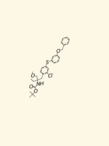 CCC(COC)(Cc1ccc(Sc2cccc(OCc3ccccc3)c2)cc1Cl)NC(=O)OC(C)(C)C